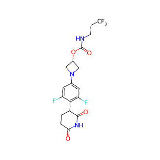 O=C1CCC(c2c(F)cc(N3CC(OC(=O)NCCC(F)(F)F)C3)cc2F)C(=O)N1